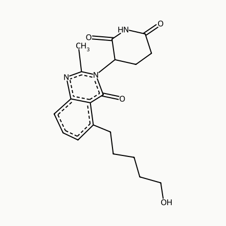 Cc1nc2cccc(CCCCCO)c2c(=O)n1C1CCC(=O)NC1=O